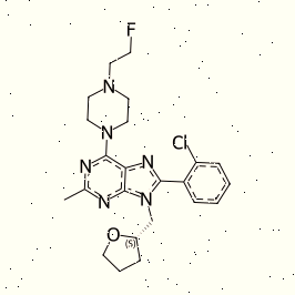 Cc1nc(N2CCN(CCF)CC2)c2nc(-c3ccccc3Cl)n(C[C@@H]3CCCO3)c2n1